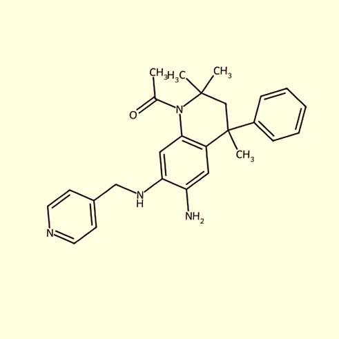 CC(=O)N1c2cc(NCc3ccncc3)c(N)cc2C(C)(c2ccccc2)CC1(C)C